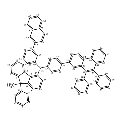 CC1(c2ccccc2)c2ccccc2-c2c(N(c3ccc(-c4ccc5c(c4)c(-c4ccccc4)c(-c4ccccc4)c4ccccc45)cc3)c3cccc(-c4ccc5ccccc5c4)c3)cccc21